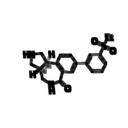 CCS(=O)(=O)c1cccc(-c2ccc3c(c2)C(=O)NC[C@@H]2CNC[C@@H]32)c1